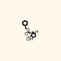 O=C(OCc1ccccc1)N1C[C@H]2CC[C@]1(CO)C2